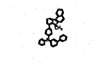 Cn1c2ccc3ccccc3c2c2cccc(-c3ccc(N(c4ccccc4)c4cccc(-c5ccccc5)c4)cc3)c21